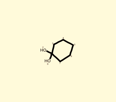 OC1(O)C[CH]CCC1